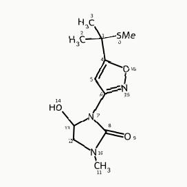 CSC(C)(C)c1cc(N2C(=O)N(C)CC2O)no1